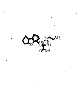 CCCS(=O)(=O)NC(O)(Oc1cccc2c1OC1CCCC21)C(=O)O